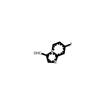 O=Cc1cnc2cc(F)ccn12